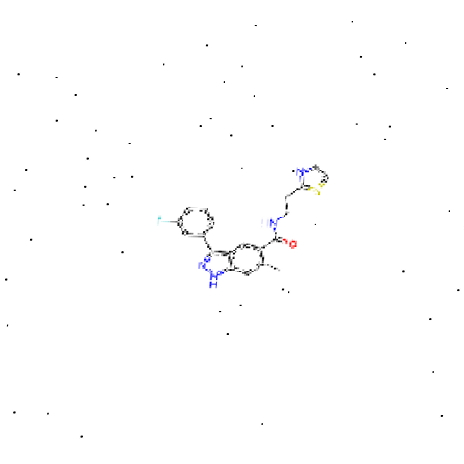 Cc1cc2[nH]nc(-c3cccc(F)c3)c2cc1C(=O)NCCc1nccs1